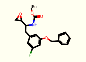 CC(C)(C)OC(=O)NC(Cc1cc(F)cc(OCc2ccccc2)c1)C1CO1